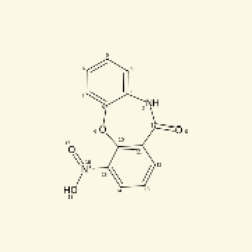 O=C1Nc2ccccc2Oc2c1cccc2[N+](=O)O